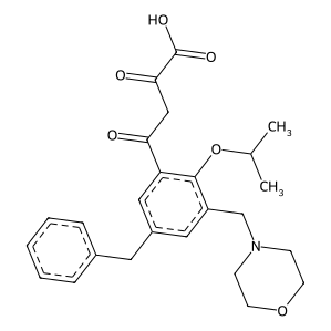 CC(C)Oc1c(CN2CCOCC2)cc(Cc2ccccc2)cc1C(=O)CC(=O)C(=O)O